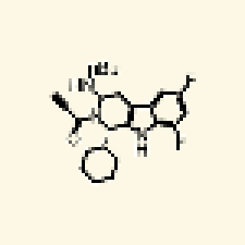 C#CC(=O)N1[C@@H](NCCCC)Cc2c([nH]c3c(F)cc(F)cc23)[C@@H]1C1CCCCC1